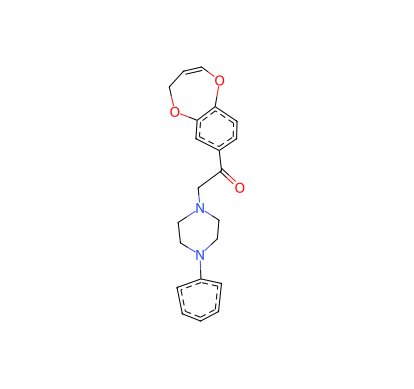 O=C(CN1CCN(c2ccccc2)CC1)c1ccc2c(c1)OCC=CO2